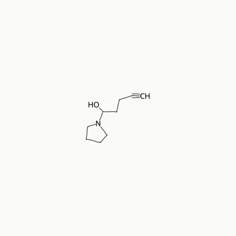 C#CCCC(O)N1CCCC1